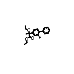 CCOC(=O)C(C)(OCC)c1ccc(-c2ccccc2)c(F)c1